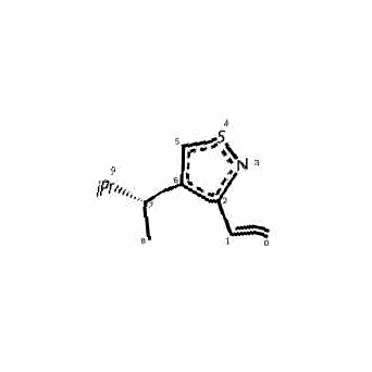 C=Cc1nscc1[C@H](C)C(C)C